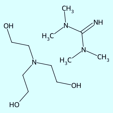 CN(C)C(=N)N(C)C.OCCN(CCO)CCO